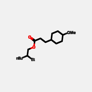 CCCCC(CC)COC(=O)CCC1CCC(OC)CC1